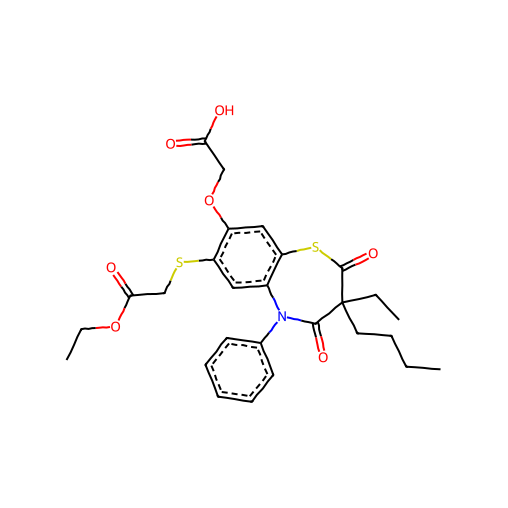 CCCCC1(CC)C(=O)Sc2cc(OCC(=O)O)c(SCC(=O)OCC)cc2N(c2ccccc2)C1=O